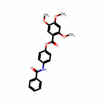 COc1cc(OC)c(C(=O)Oc2ccc(NC(=O)c3ccccc3)cc2)cc1OC